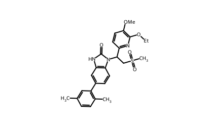 CCOc1nc(C(CS(C)(=O)=O)n2c(=O)[nH]c3cc(-c4cc(C)ccc4C)ccc32)ccc1OC